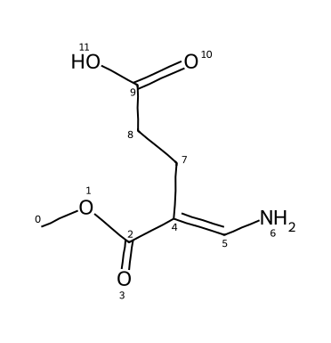 COC(=O)/C(=C/N)CCC(=O)O